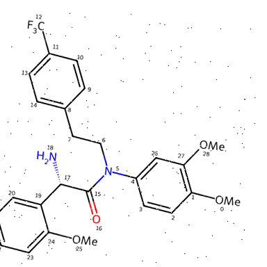 COc1ccc(N(CCc2ccc(C(F)(F)F)cc2)C(=O)[C@@H](N)c2ccccc2OC)cc1OC